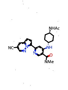 CNC(=O)c1cnc(-c2ccc3cc(C#N)cnn23)cc1N[C@H]1CC[C@H](NC(C)=O)CC1